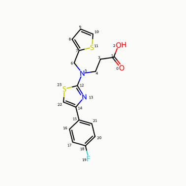 O=C(O)CCN(Cc1cccs1)c1nc(-c2ccc(F)cc2)cs1